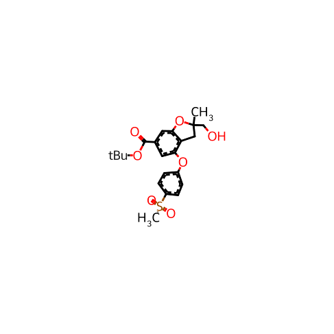 CC(C)(C)OC(=O)c1cc(Oc2ccc(S(C)(=O)=O)cc2)c2c(c1)OC(C)(CO)C2